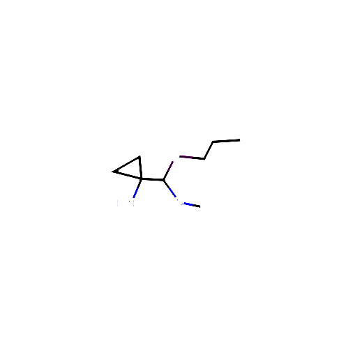 CCCPC(NC)C1(N)CC1